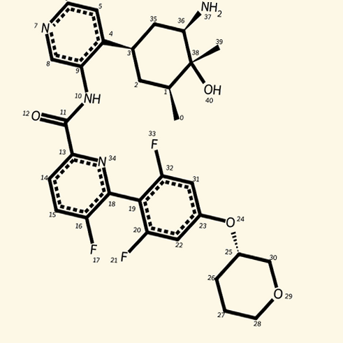 C[C@H]1C[C@@H](c2ccncc2NC(=O)c2ccc(F)c(-c3c(F)cc(O[C@H]4CCCOC4)cc3F)n2)C[C@@H](N)[C@]1(C)O